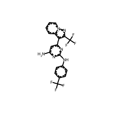 Nc1cc(-c2c(C(F)(F)F)nn3ccccc23)nc(Nc2ccc(C(F)(F)F)cc2)n1